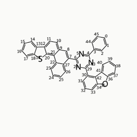 c1ccc(-c2nc(-c3cc4ccc5c6ccccc6sc5c4c4ccccc34)nc(-c3cccc4oc5ccccc5c34)n2)cc1